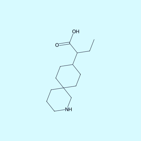 CCC(C(=O)O)C1CCC2(CCCNC2)CC1